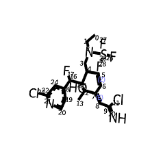 CCN(CC(/C=C\C(=C/C(=N)Cl)C(C)O)CC(F)c1ccnc(Cl)c1)S(F)(F)F